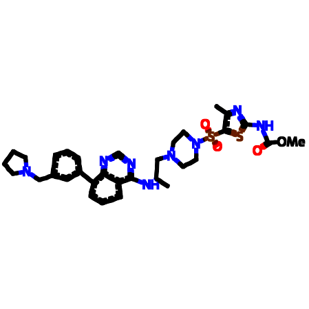 COC(=O)Nc1nc(C)c(S(=O)(=O)N2CCN(CC(C)Nc3ncnc4c(-c5cccc(CN6CCCC6)c5)cccc34)CC2)s1